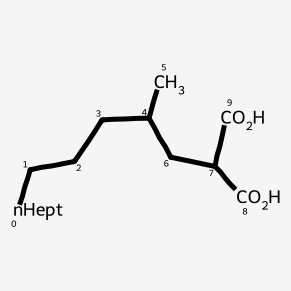 CCCCCCCCCCC(C)CC(C(=O)O)C(=O)O